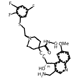 COc1ccc2ncc(CN)c([C@H](O)CCC3(C(=O)NO)CCN(CCSc4cc(F)cc(F)c4F)CC3)c2c1